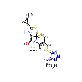 N#C[C@@H]1C[C@@H]1C(=S)NC1C(=O)N2C(C(=O)O)=C(CSc3nnnn3CC(=O)O)CS[C@@H]12